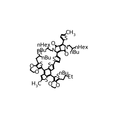 CCCCCCC(CCCC)CN1C(=O)C2=C(c3ccc(-c4cc5c(-c6sc(CC(CC)CCCC)c7c6OCCO7)c6sc(C)cc6c(-c6sc(CC(CC)CCCC)c7c6OCCO7)c5s4)s3)N(CC(CCCC)CCCCCC)C(=O)C2=C1c1ccc(C)s1